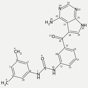 Cc1cc(C)cc(NC(=O)Nc2cccc(C(=O)c3c[nH]c4ncnc(N)c34)c2)c1